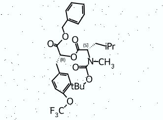 CC(C)C[C@@H](C(=O)O[C@H](Cc1ccc(OC(F)(F)F)cc1)C(=O)OCc1ccccc1)N(C)C(=O)OC(C)(C)C